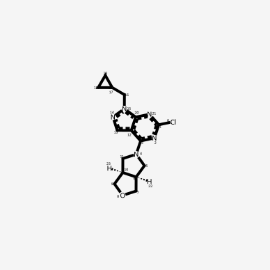 Clc1nc(N2C[C@H]3COC[C@H]3C2)c2cnn(CC3CC3)c2n1